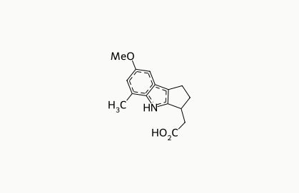 COc1cc(C)c2[nH]c3c(c2c1)CCC3CC(=O)O